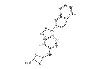 OC1CC(Nc2ncc3c(-c4ccc5nccnc5c4)ccn3n2)C1